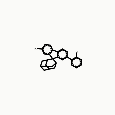 CC(C)(C)c1ccc2c(c1)C1(c3cc(-c4ccccc4Cl)ccc3-2)C2CC3CC(C2)CC1C3